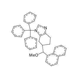 COC(c1cccc2ccccc12)C1CCc2ncn(C(c3ccccc3)(c3ccccc3)c3ccccc3)c2C1